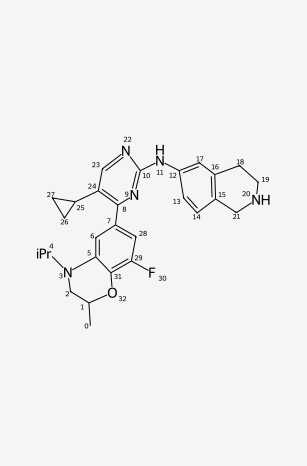 CC1CN(C(C)C)c2cc(-c3nc(Nc4ccc5c(c4)CCNC5)ncc3C3CC3)cc(F)c2O1